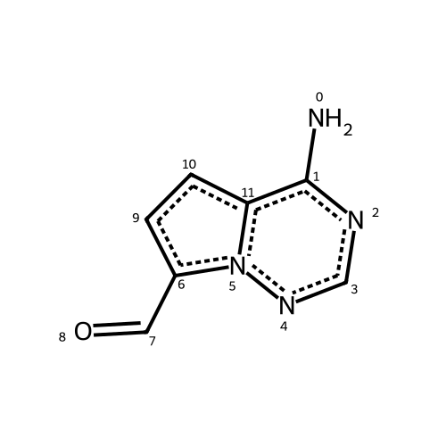 Nc1ncnn2c(C=O)ccc12